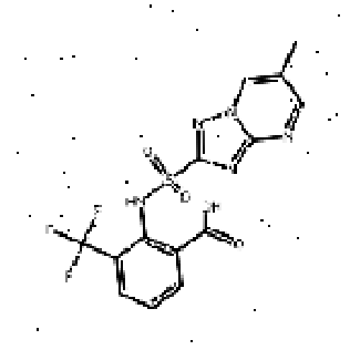 Cc1cnc2nc(S(=O)(=O)Nc3c(C(=O)O)cccc3C(F)(F)F)nn2c1